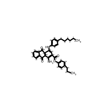 CCCCCCc1ccc(Nc2cc(C(=O)Oc3ccc(CCC)cc3)c(N)c3c2C(=O)c2ccccc2C3=O)cc1